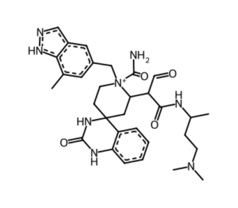 Cc1cc(C[N+]2(C(N)=O)CCC3(CC2C(C=O)C(=O)NC(C)CCN(C)C)NC(=O)Nc2ccccc23)cc2cn[nH]c12